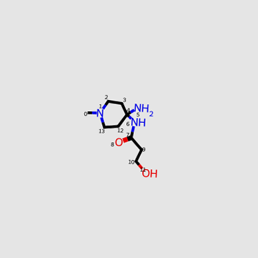 CN1CCC(N)(NC(=O)CCO)CC1